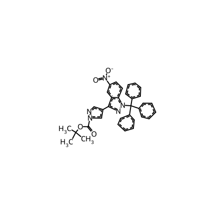 CC(C)(C)OC(=O)n1cc(-c2nn(C(c3ccccc3)(c3ccccc3)c3ccccc3)c3ccc([N+](=O)[O-])cc23)cn1